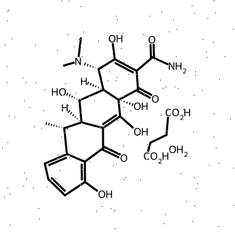 C[C@H]1c2cccc(O)c2C(=O)C2=C(O)[C@]3(O)C(=O)C(C(N)=O)=C(O)[C@@H](N(C)C)[C@@H]3[C@@H](O)[C@@H]21.O.O=C(O)CCC(=O)O